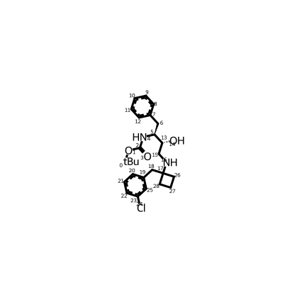 CC(C)(C)OC(=O)N[C@@H](Cc1ccccc1)[C@H](O)CNC1(Cc2cccc(Cl)c2)CCC1